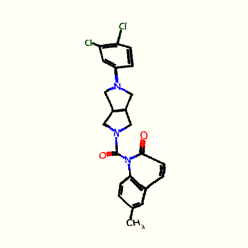 Cc1ccc2c(ccc(=O)n2C(=O)N2CC3CN(c4ccc(Cl)c(Cl)c4)CC3C2)c1